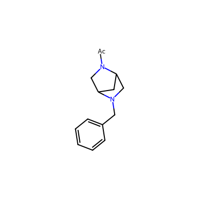 CC(=O)N1CC2CC1CN2Cc1ccccc1